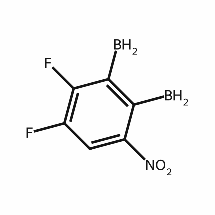 Bc1c([N+](=O)[O-])cc(F)c(F)c1B